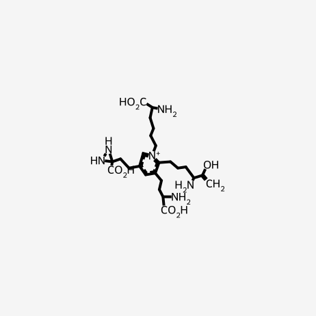 C=C(O)C(N)CCCc1c(CCC(N)C(=O)O)cc(CCC2(C(=O)O)NN2)c[n+]1CCCCC(N)C(=O)O